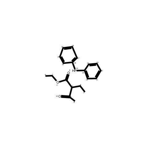 CCOC(=O)C(CC)C(C)=O.c1ccc(Pc2ccccc2)cc1